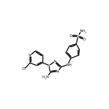 Nc1nc(Nc2ccc(S(N)(=O)=O)cc2)nn1-c1ccnc(Cl)c1